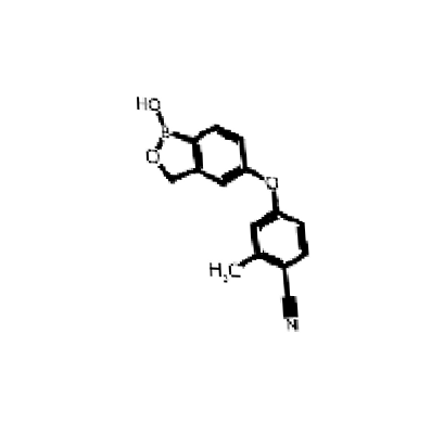 Cc1cc(Oc2ccc3c(c2)COB3O)ccc1C#N